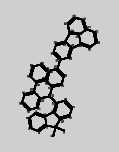 CC1(C)c2ccccc2-c2c(N(c3ccc(-c4ccc5c(c4)-c4cccc6cccc-5c46)cc3)c3ccccc3-c3ccccc3)cccc21